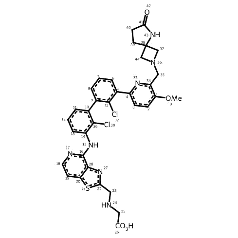 COc1ccc(-c2cccc(-c3cccc(Nc4nccc5sc(CNCC(=O)O)nc45)c3Cl)c2Cl)nc1CN1CC2(CCC(=O)N2)C1